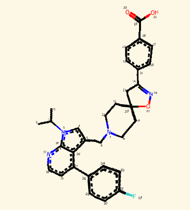 CC(C)n1cc(CN2CCC3(CC2)CC(c2ccc(C(=O)O)cc2)=NO3)c2c(-c3ccc(F)cc3)ccnc21